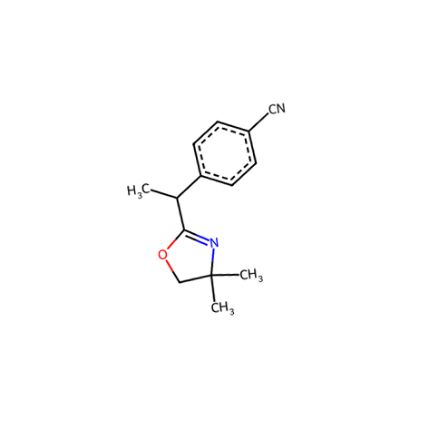 CC(C1=NC(C)(C)CO1)c1ccc(C#N)cc1